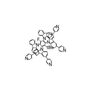 CC(C)(C)c1c(-n2c3ccc(-c4ccncc4)cc3c3cc(-c4ccncc4)ccc32)c(-n2c3ccccc3c3ccccc32)c(F)c(-n2c3ccccc3c3ccccc32)c1-n1c2ccc(-c3ccncc3)cc2c2cc(-c3ccncc3)ccc21